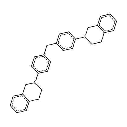 c1ccc2c(c1)CCN(c1ccc(Cc3ccc(N4CCc5ccccc5C4)cc3)cc1)C2